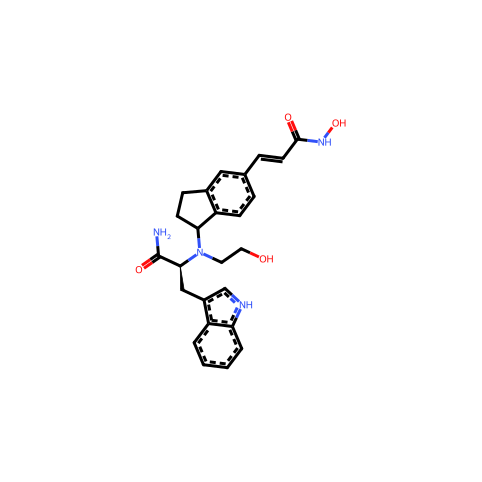 NC(=O)[C@H](Cc1c[nH]c2ccccc12)N(CCO)C1CCc2cc(/C=C/C(=O)NO)ccc21